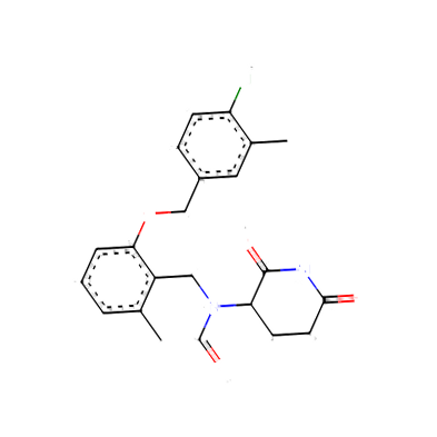 Cc1cc(COc2cccc(C)c2CN(C=O)C2CCC(=O)NC2=O)ccc1Cl